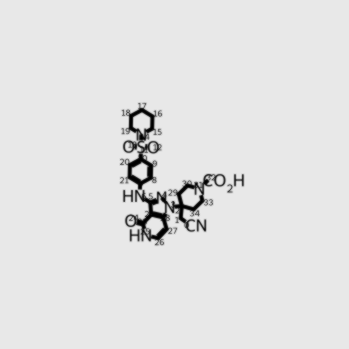 N#CCC1(n2nc(Nc3ccc(S(=O)(=O)N4CCCCC4)cc3)c3c(=O)[nH]ccc32)CCN(C(=O)O)CC1